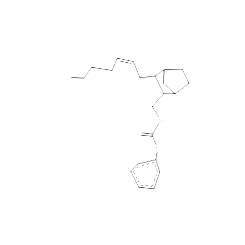 O=C(O)CCC/C=C\CC1C2CCC(C2)C1CNC(=O)Nc1ccccc1